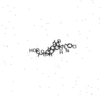 CC(C)C1=C2[C@H]3CC[C@@H]4[C@@]5(C)CC[C@H](OC(=O)CC(C)(C)CC(=O)O)C(C)(C)[C@@H]5CC[C@@]4(C)[C@]3(C)CC[C@@]2([C@@H](O)CN(CCN(C)C)Cc2ccc(Cl)cc2)CC1=O